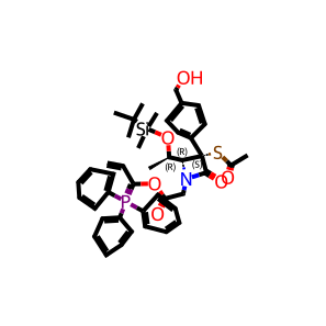 C=CC(OC(=O)CN1C(=O)[C@](SC(C)=O)(c2ccc(CO)cc2)[C@H]1[C@@H](C)O[Si](C)(C)C(C)(C)C)=P(c1ccccc1)(c1ccccc1)c1ccccc1